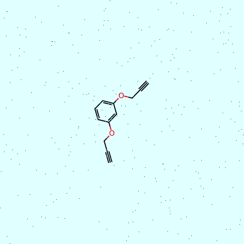 C#CCOc1[c]ccc(OCC#C)c1